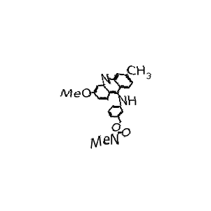 CNC(=O)OCc1cccc(Nc2c3ccc(C)cc3nc3cc(OC)ccc23)c1